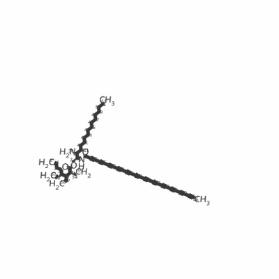 C=CCC1O[C@H](OC[C@H](NC(=O)C#CC#CC#CC#CC#CC#CC#CC#CC#CC#CC#CC#CC)[C@H](N)CCCCCCCCCCCCCC)[C@@H](C=C)C(C=C)[C@H]1C=C